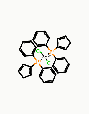 [Cl][Pd-2]([Cl])([P+](C1=CCC=C1)(c1ccccc1)c1ccccc1)[P+](C1=CCC=C1)(c1ccccc1)c1ccccc1